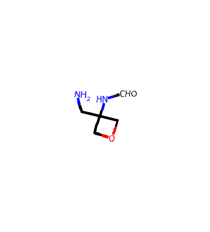 NCC1(NC=O)COC1